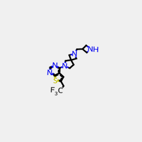 FC(F)(F)Cc1cc2c(N3CCC4(CN(CC5CNC5)C4)C3)ncnc2s1